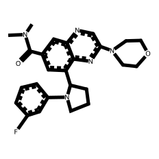 CN(C)C(=O)c1cc(C2CCCN2c2cccc(F)c2)c2nc(N3CCOCC3)cnc2c1